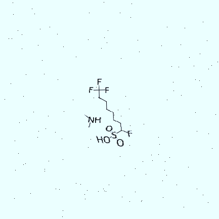 CNC.O=S(=O)(O)C(F)CCCCCCC(F)(F)F